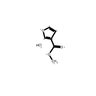 COC(=O)c1ccoc1.Cl